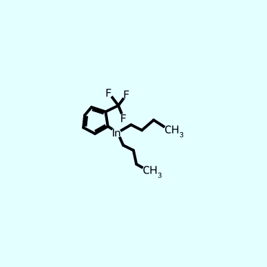 CCC[CH2][In]([CH2]CCC)[c]1ccccc1C(F)(F)F